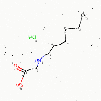 CCCCCCNCC(=O)O.Cl